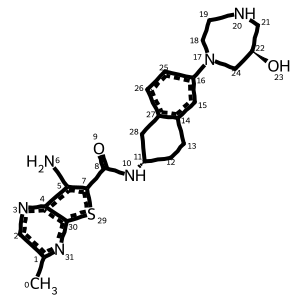 Cc1cnc2c(N)c(C(=O)N[C@H]3CCc4cc(N5CCNC[C@@H](O)C5)ccc4C3)sc2n1